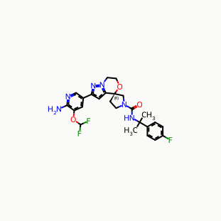 CC(C)(NC(=O)N1CC[C@]2(C1)OCCn1nc(-c3cnc(N)c(OC(F)F)c3)cc12)c1ccc(F)cc1